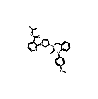 CCN(Cc1ccccc1Oc1ccc(OC)cc1)[C@H]1CCN(c2ncccc2C(=O)OC(C)C)C1